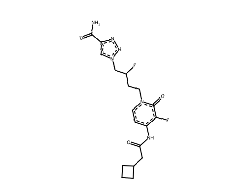 NC(=O)c1cn(CC(F)CCn2ccc(NC(=O)CC3CCC3)c(F)c2=O)nn1